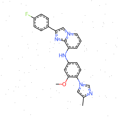 COc1cc(Nc2cccn3cc(-c4ccc(F)cc4)nc23)ccc1-n1cnc(C)c1